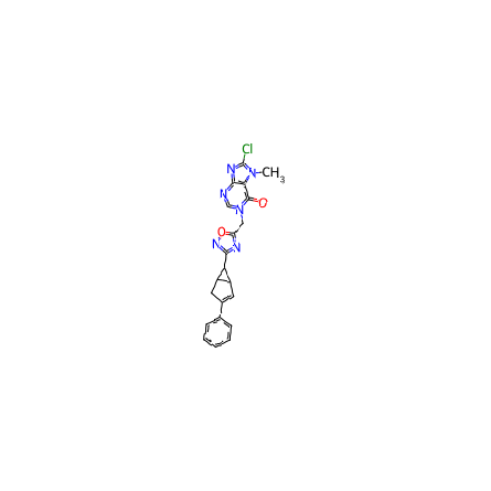 Cn1c(Cl)nc2ncn(Cc3nc(C4C5C=C(c6ccccc6)CC54)no3)c(=O)c21